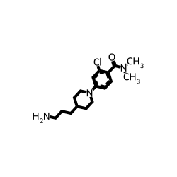 CN(C)C(=O)c1ccc(N2CCC(CCCN)CC2)cc1Cl